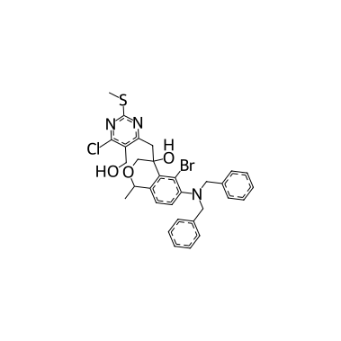 CSc1nc(Cl)c(CO)c(CC2(O)COC(C)c3ccc(N(Cc4ccccc4)Cc4ccccc4)c(Br)c32)n1